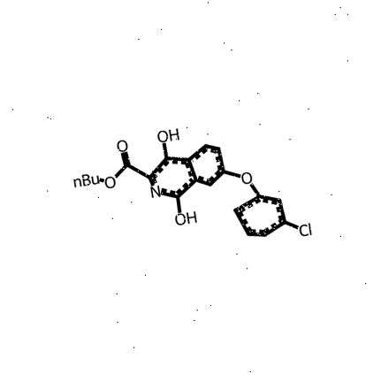 CCCCOC(=O)c1nc(O)c2cc(Oc3cccc(Cl)c3)ccc2c1O